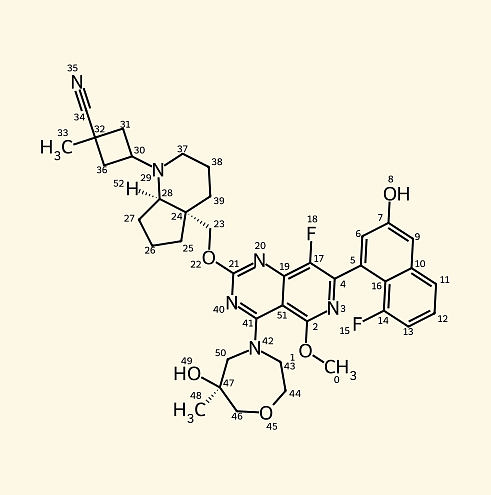 COc1nc(-c2cc(O)cc3cccc(F)c23)c(F)c2nc(OC[C@]34CCC[C@H]3N(C3CC(C)(C#N)C3)CCC4)nc(N3CCOC[C@@](C)(O)C3)c12